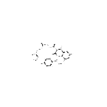 N#Cc1cc2c3c(c1)c(O)c(C(=O)NCC(=O)OCC1=CCCC1)c(=O)n3C(c1ccc(C(F)(F)F)cc1)CN2